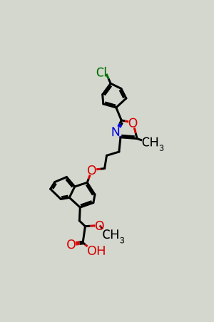 COC(Cc1ccc(OCCCc2nc(-c3ccc(Cl)cc3)oc2C)c2ccccc12)C(=O)O